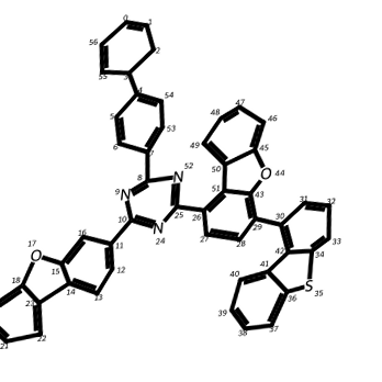 C1=CCC(c2ccc(-c3nc(-c4ccc5c(c4)oc4ccccc45)nc(-c4ccc(-c5cccc6sc7ccccc7c56)c5oc6ccccc6c45)n3)cc2)C=C1